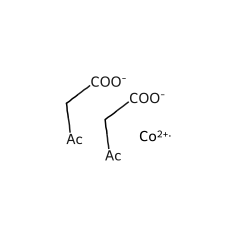 CC(=O)CC(=O)[O-].CC(=O)CC(=O)[O-].[Co+2]